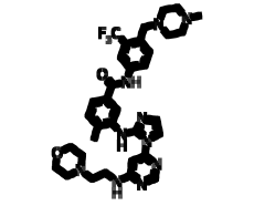 Cc1ccc(C(=O)Nc2ccc(CN3CCN(C)CC3)c(C(F)(F)F)c2)cc1Nc1nccn1-c1cc(NCCN2CCOCC2)ncn1